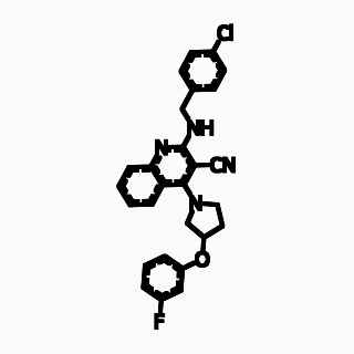 N#Cc1c(NCc2ccc(Cl)cc2)nc2ccccc2c1N1CCC(Oc2cccc(F)c2)C1